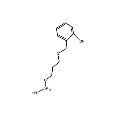 CCC[SiH2]OCCCOCc1ccccc1O